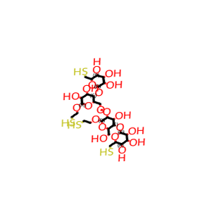 OCC1O[C@@H](OCCS)C(OOCC2O[C@@H](OCCS)C(O)C(O)[C@@H]2O[C@@H]2OC(CS)[C@@H](O)C(O)C2O)C(O)[C@@H]1O[C@@H]1OC(CS)[C@H](O)C(O)C1O